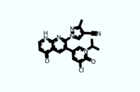 Cc1nn(-c2nc3[nH]ccc(=O)c3cc2-c2cc(Cl)c(=O)n(C(C)C)c2)cc1C#N